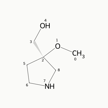 CO[C@]1(CO)CCNC1